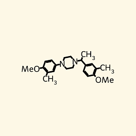 COc1ccc(C(C)N2CCN(c3ccc(OC)c(C)c3)CC2)cc1C